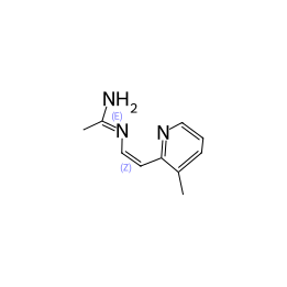 C/C(N)=N\C=C/c1ncccc1C